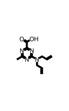 C=CCN(CC=C)c1nc(C)nc(C(=O)O)n1